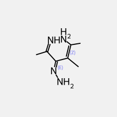 CC(=N)C(=N/N)/C(C)=C(/C)N